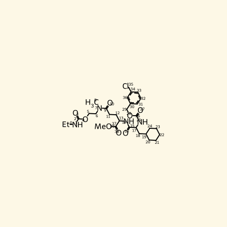 CCNC(=O)OCCN(C)C(=O)CCC(NC(=O)C(CC1CCCCC1)NC(=O)OCc1cccc(Cl)c1)C(=O)OC